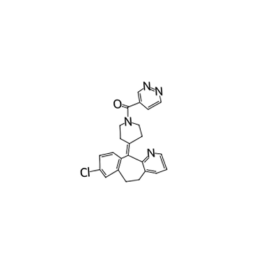 O=C(c1ccnnc1)N1CCC(=C2c3ccc(Cl)cc3CCc3cccnc32)CC1